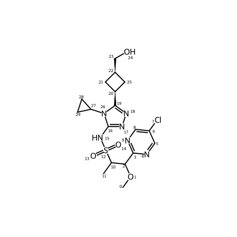 COC(c1ncc(Cl)cn1)C(C)S(=O)(=O)Nc1nnc([C@H]2C[C@@H](CO)C2)n1C1CC1